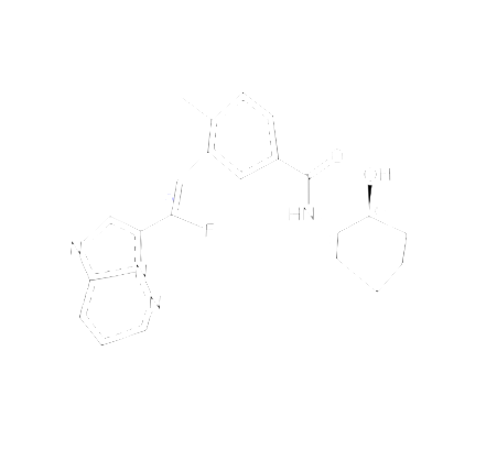 Cc1ccc(C(=O)N[C@H]2CCCC[C@@H]2O)cc1/C=C(\F)c1cnc2cccnn12